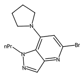 CCCn1ncc2nc(Br)cc(N3CCCC3)c21